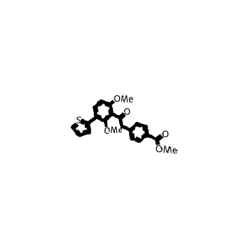 COC(=O)c1ccc(CC(=O)c2c(OC)ccc(-c3cccs3)c2OC)cc1